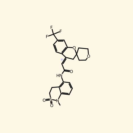 CN1c2cccc(NC(=O)/C=C3\CC4(CCOCC4)Oc4cc(C(F)(F)F)ccc43)c2CCS1(=O)=O